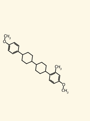 COc1ccc(C2CCC(C3CCC(c4ccc(OC)cc4C)CC3)CC2)cc1